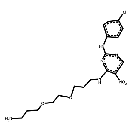 NCCCOCCOCCCNc1nc(Nc2ccc(Cl)cc2)ncc1[N+](=O)[O-]